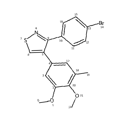 COc1cc(-c2csnc2-c2ccc(Br)cc2)cc(C)c1OC